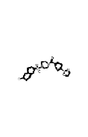 O=C(c1ccc(-n2nccn2)cc1)N1CCN(S(=O)(=O)c2ccc3cc(Cl)ccc3c2)CC1